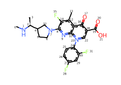 CN[C@@H](C)C1CCN(c2nc3c(c(C)c2F)c(=O)c(C(=O)O)cn3-c2ccc(F)cc2F)C1